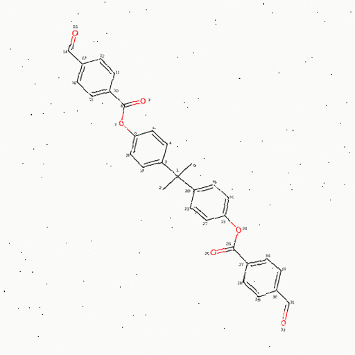 CC(C)(c1ccc(OC(=O)c2ccc(C=O)cc2)cc1)c1ccc(OC(=O)c2ccc(C=O)cc2)cc1